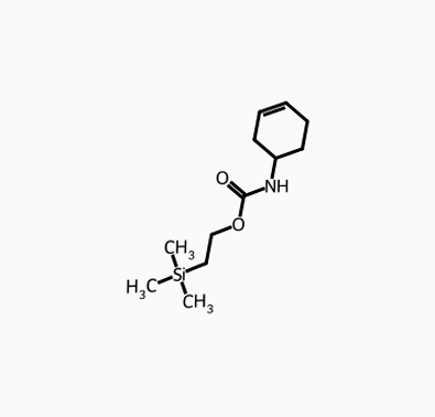 C[Si](C)(C)CCOC(=O)NC1CC=CCC1